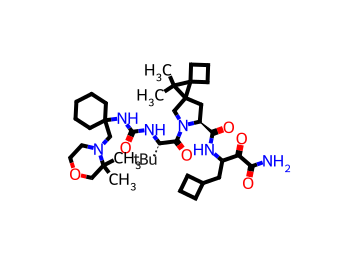 CC(C)(C)[C@H](NC(=O)NC1(CN2CCOCC2(C)C)CCCCC1)C(=O)N1CC2(C[C@H]1C(=O)NC(CC1CCC1)C(=O)C(N)=O)C(C)(C)C21CCC1